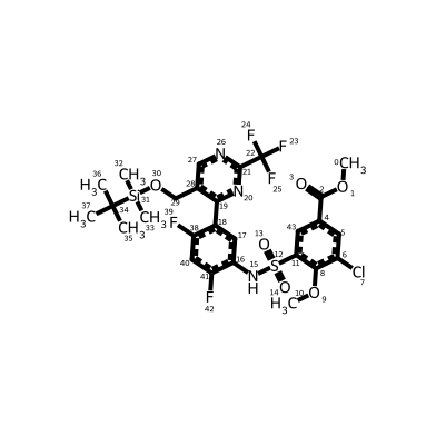 COC(=O)c1cc(Cl)c(OC)c(S(=O)(=O)Nc2cc(-c3nc(C(F)(F)F)ncc3CO[Si](C)(C)C(C)(C)C)c(F)cc2F)c1